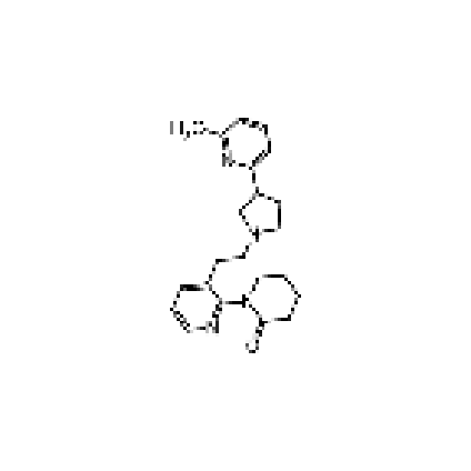 Cc1cccc(C2CCN(CCc3cccnc3N3CCCCC3=O)C2)n1